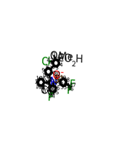 COc1c(C(=O)O)ccc(-c2cccc(-c3c(-c4ccccc4C#N)c4cc(F)ccc4n3[S+]([O-])c3ccc(C(F)F)cc3)c2)c1Cl